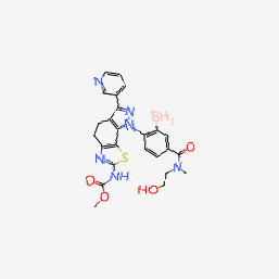 Bc1cc(C(=O)N(C)CCO)ccc1-n1nc(-c2cccnc2)c2c1-c1sc(NC(=O)OC)nc1CC2